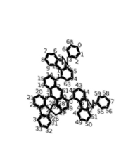 c1ccc(-n2c3ccccc3c3c(-c4cccc5c(-c6cccc7c6C6(CCCC6)c6ccccc6-7)c6cccc(-c7cccc8c7c7ccccc7n8-c7ccccc7)c6cc45)cccc32)cc1